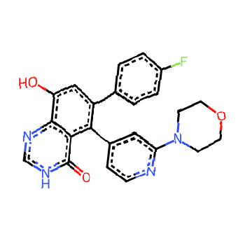 O=c1[nH]cnc2c(O)cc(-c3ccc(F)cc3)c(-c3ccnc(N4CCOCC4)c3)c12